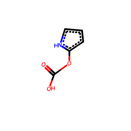 O=C(O)Oc1ccc[nH]1